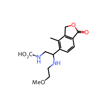 COCCNC(CNC(=O)O)c1ccc2c(c1C)COC2=O